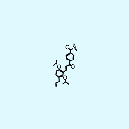 C=CCc1ccc(OC(C)C)c(/C=C/C(=O)c2ccc(C(=O)N(C)C)cc2)c1OC(C)C